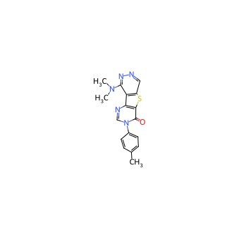 Cc1ccc(-n2cnc3c(sc4cnnc(N(C)C)c43)c2=O)cc1